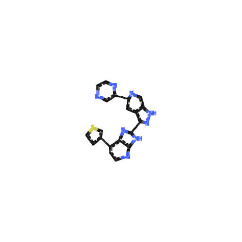 c1cnc(-c2cc3c(-c4nc5c(-c6ccsc6)ccnc5[nH]4)n[nH]c3cn2)cn1